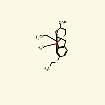 CO[C@H]1CC[C@]2(CC1)Cc1ccc(OCC(F)(F)F)cc1C21N=C(N)N(CC(F)(F)F)C1=O